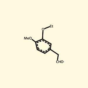 CCOc1cc(C[C]=O)ccc1OC